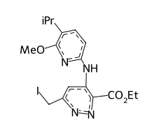 CCOC(=O)c1nnc(CI)cc1Nc1ccc(C(C)C)c(OC)n1